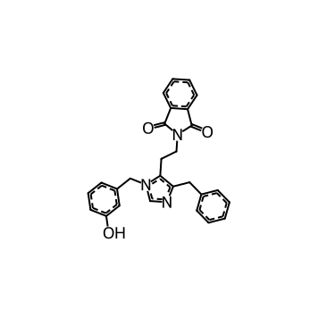 O=C1c2ccccc2C(=O)N1CCc1c(Cc2ccccc2)ncn1Cc1cccc(O)c1